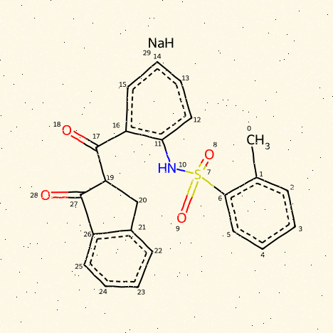 Cc1ccccc1S(=O)(=O)Nc1ccccc1C(=O)C1Cc2ccccc2C1=O.[NaH]